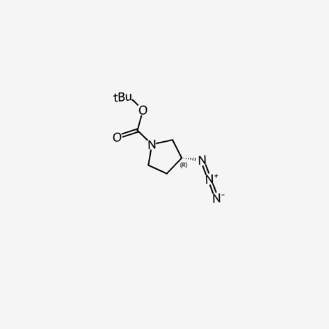 CC(C)(C)OC(=O)N1CC[C@@H](N=[N+]=[N-])C1